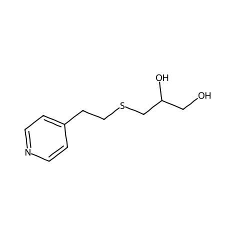 OCC(O)CSCCc1ccncc1